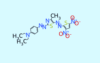 CCN(CC)c1ccc(/N=N/c2nc(C)c(/N=N/c3sc([N+](=O)[O-])cc3[N+](=O)[O-])s2)cc1